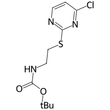 CC(C)(C)OC(=O)NCCSc1nccc(Cl)n1